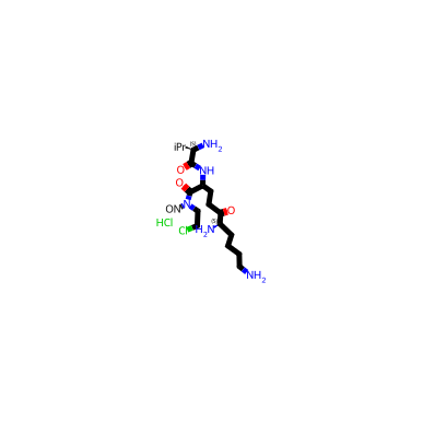 CC(C)[C@H](N)C(=O)NC(CCC(=O)[C@@H](N)CCCCN)C(=O)N(CCCl)N=O.Cl